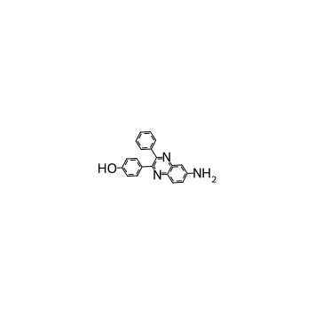 Nc1ccc2nc(-c3ccc(O)cc3)c(-c3ccccc3)nc2c1